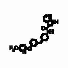 O=C(NC1CCC(=Cc2cccc(Oc3ccc(C(F)(F)F)cn3)c2)CC1)c1c[nH]c2ncccc12